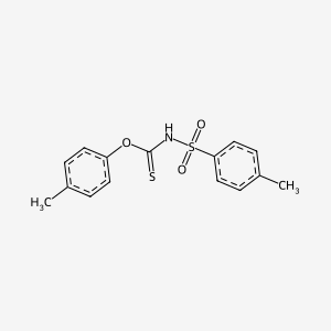 Cc1ccc(OC(=S)NS(=O)(=O)c2ccc(C)cc2)cc1